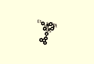 CCc1ccc(N2c3cccc4c3B(c3c2sc2ccc(CC)cc32)c2c(sc3ccc(CC)cc23)N4c2ccc(-c3ccc4c5ccccc5c5ccccc5c4c3)cc2)cc1